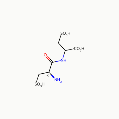 N[C@@H](CS(=O)(=O)O)C(=O)NC(CS(=O)(=O)O)C(=O)O